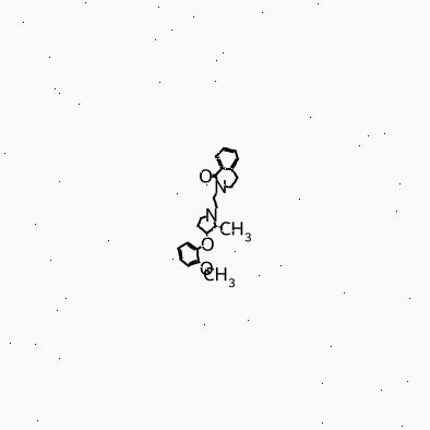 COc1ccccc1O[C@@H]1CCN(CCN2CCc3ccccc3C2=O)[C@@H]1C